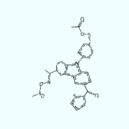 CC(=O)ON=C(C)c1ccc2c(c1)c1cc(C(=O)c3cccs3)ccc1n2-c1ccc(/C=N\OC(C)=O)cc1